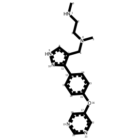 CNCCN(C)Cc1c[nH]nc1-c1ccc(Oc2cncnc2)cc1